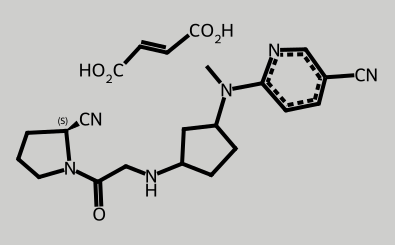 CN(c1ccc(C#N)cn1)C1CCC(NCC(=O)N2CCC[C@H]2C#N)C1.O=C(O)C=CC(=O)O